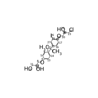 CC(C)(c1ccc(OC[C@@H](O)CO)cc1)c1ccc(OC[C@@H](O)CCl)c(I)c1